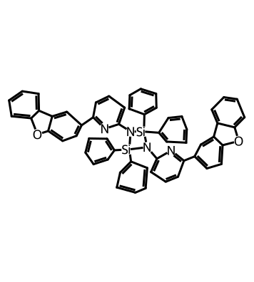 c1ccc([Si]2(c3ccccc3)N(c3cccc(-c4ccc5oc6ccccc6c5c4)n3)[Si](c3ccccc3)(c3ccccc3)N2c2cccc(-c3ccc4oc5ccccc5c4c3)n2)cc1